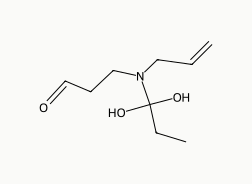 C=CCN(CCC=O)C(O)(O)CC